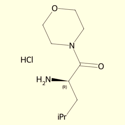 CC(C)C[C@@H](N)C(=O)N1CCOCC1.Cl